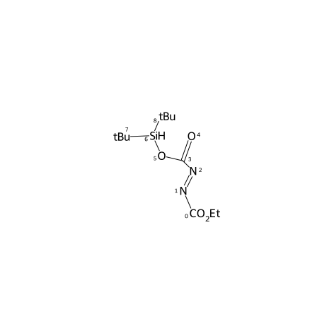 CCOC(=O)N=NC(=O)O[SiH](C(C)(C)C)C(C)(C)C